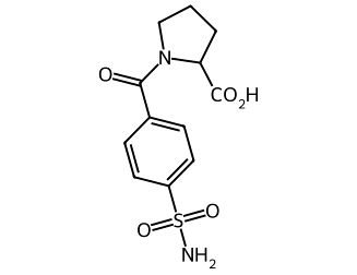 NS(=O)(=O)c1ccc(C(=O)N2CCCC2C(=O)O)cc1